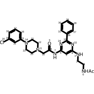 CC(=O)NCCNc1cc(NC(=O)CN2CCN(c3cccc(Cl)c3)CC2)nc(-c2ccccc2)n1